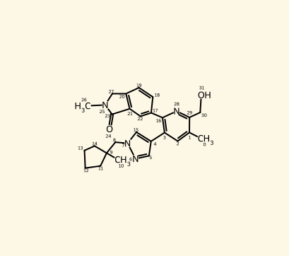 Cc1cc(-c2cnn(CC3(C)CCCC3)c2)c(-c2ccc3c(c2)C(=O)N(C)C3)nc1CO